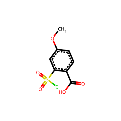 COc1ccc(C(=O)O)c(S(=O)(=O)Cl)c1